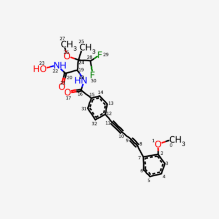 COc1ccccc1C#CC#Cc1ccc(C(=O)NC(C(=O)NO)C(C)(OC)C(F)F)cc1